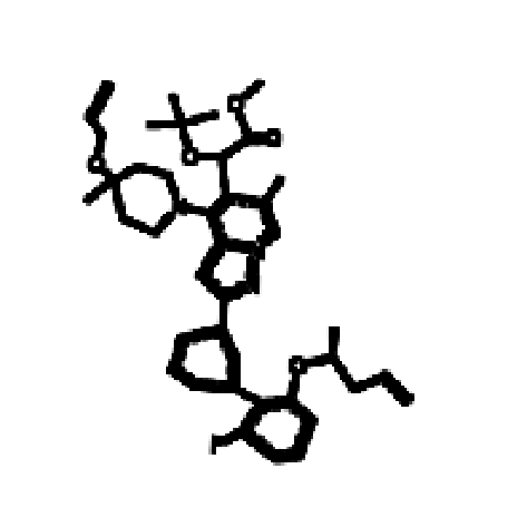 C=CCOC1(C)CCN(c2c(C(OC(C)(C)C)C(=O)OC)c(C)cn3nc(-c4cccc(-c5c(F)cccc5O[C@@H](C)CC=C)c4)cc23)CC1